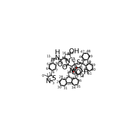 Cc1ncsc1-c1ccc([C@H](C)NC(=O)[C@H]2C[C@@H](O)CN2C(=O)C(N(CC2c3ccccc3-c3ccccc32)C(=O)O)C(C)(C)SC(c2ccccc2)(c2ccccc2)c2ccccc2)cc1